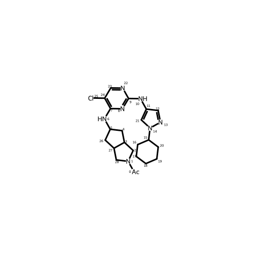 CC(=O)N1CC2CC(Nc3nc(Nc4cnn(C5CCCCC5)c4)ncc3Cl)CC2C1